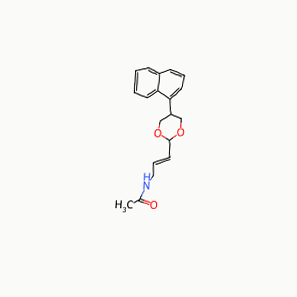 CC(=O)NCC=CC1OCC(c2cccc3ccccc23)CO1